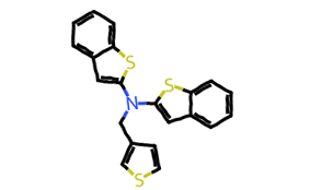 c1ccc2sc(N(Cc3ccsc3)c3cc4ccccc4s3)cc2c1